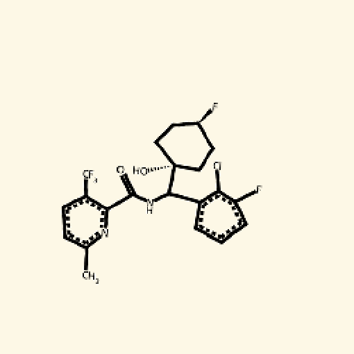 Cc1ccc(C(F)(F)F)c(C(=O)NC(c2cccc(F)c2Cl)[C@]2(O)CC[C@H](F)CC2)n1